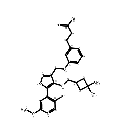 COc1cc(-c2onc(COc3cccc(CCC(=O)O)c3)c2OCC2CC(C)(C)C2)c(F)cn1